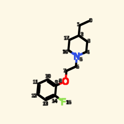 CCC1CCN(CCOc2ccccc2F)CC1